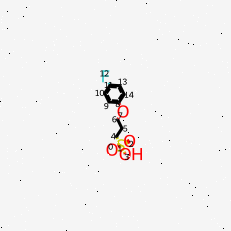 O=S(=O)(O)CCCOc1ccc(F)cc1